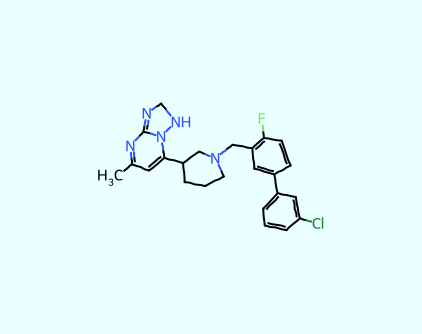 CC1=NC2=NCNN2C(C2CCCN(Cc3cc(-c4cccc(Cl)c4)ccc3F)C2)=C1